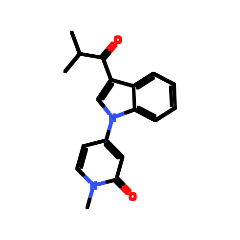 CC(C)C(=O)c1cn(-c2ccn(C)c(=O)c2)c2ccccc12